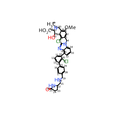 COc1cc(Cn2cnc3c(-c4cccc(-c5ccc(CNCC6CCC(=O)N6)cc5)c4Cl)cccc32)c(Cl)cc1CN(C)C(CO)C(=O)O